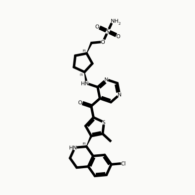 Cc1sc(C(=O)c2cncnc2N[C@H]2CC[C@@H](COS(N)(=O)=O)C2)cc1[C@@H]1NCCc2ccc(Cl)cc21